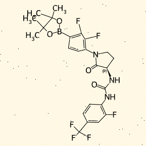 CC1(C)OB(c2ccc(N3CC[C@@H](NC(=O)Nc4ccc(C(F)(F)F)cc4F)C3=O)c(F)c2F)OC1(C)C